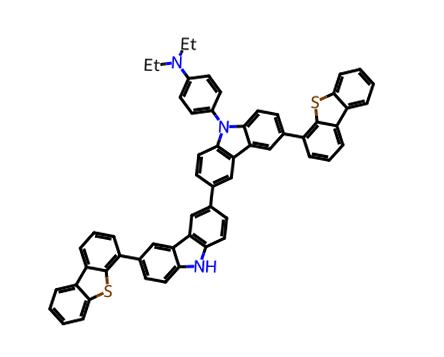 CCN(CC)c1ccc(-n2c3ccc(-c4ccc5[nH]c6ccc(-c7cccc8c7sc7ccccc78)cc6c5c4)cc3c3cc(-c4cccc5c4sc4ccccc45)ccc32)cc1